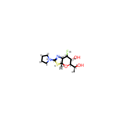 C[C@H](O)[C@H]1O[C@@H]2SC(N3CCCC3)=NC2C(F)[C@@H]1O